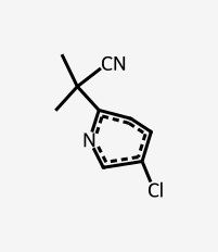 CC(C)(C#N)c1ccc(Cl)cn1